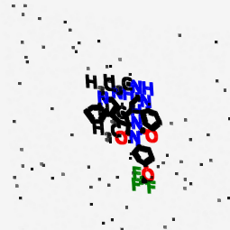 CNc1cc(C(C)C2(C(C)c3cc(NC)nc4ccccc34)NC(=O)N(c3ccc(OC(F)(F)F)cc3)C2=O)c2ccccc2n1